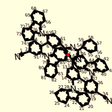 N#Cc1ccc(-c2cc(-c3cc(-c4ccc(-n5c6ccccc6c6ccccc65)c(-c5ccc(C#N)cc5-n5c6ccccc6c6ccccc65)c4)nc(-c4ccccc4)n3)ccc2-n2c3ccccc3c3ccccc32)c(-n2c3ccccc3c3ccccc32)c1